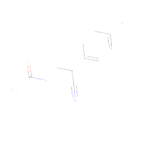 N#CC(CNC(=O)O)c1ccc(I)cc1